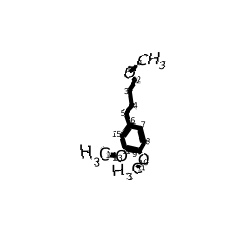 COCCCCc1ccc(OC)c(OC)c1